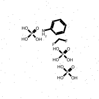 FCF.Nc1ccccc1.O=P(O)(O)O.O=P(O)(O)O.O=P(O)(O)O